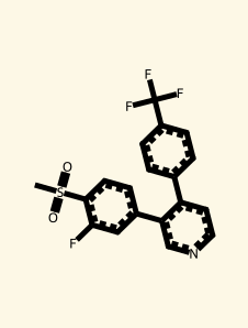 CS(=O)(=O)c1ccc(-c2cnccc2-c2ccc(C(F)(F)F)cc2)cc1F